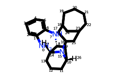 Nc1ccccc1N[C@@H]1C[C@@H]2CCC[C@H]1N2C1CC2CCCCC(C2)C1